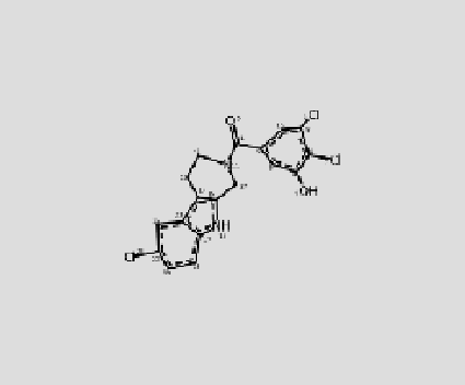 O=C(c1cc(O)c(Cl)c(Cl)c1)N1CCc2c([nH]c3ccc(Cl)cc23)C1